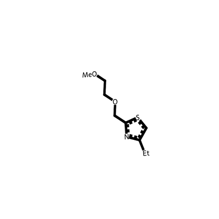 CCc1csc(COCCOC)n1